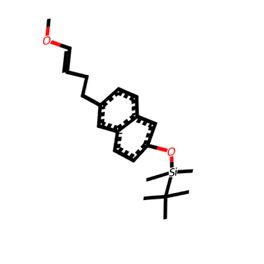 CO/C=C/CCc1ccc2cc(O[Si](C)(C)C(C)(C)C)ccc2c1